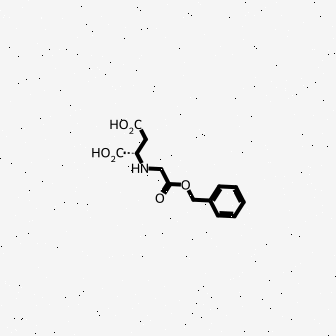 O=C(O)C[C@H](NCC(=O)OCc1ccccc1)C(=O)O